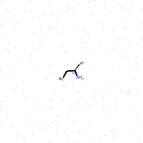 CC(=O)C[C@H](N)C(C)C